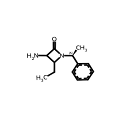 CCC1C(N)C(=O)N1[C@@H](C)c1ccccc1